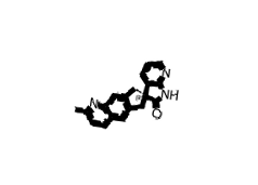 Cc1ccc2cc3c(cc2n1)C[C@@]1(C3)C(=O)Nc2ncccc21